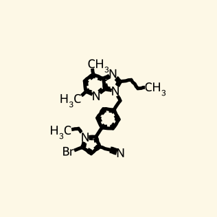 CCCc1nc2c(C)cc(C)nc2n1Cc1ccc(-c2c(C#N)cc(Br)n2CC)cc1